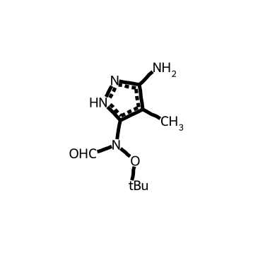 Cc1c(N)n[nH]c1N(C=O)OC(C)(C)C